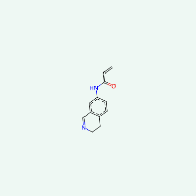 C=CC(=O)Nc1ccc2c(c1)C=NCC2